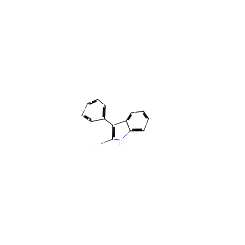 O=Cc1[nH]c2ccccc2c1-c1ccccc1